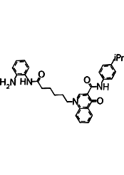 CC(C)c1ccc(NC(=O)c2cn(CCCCCC(=O)Nc3ccccc3N)c3ccccc3c2=O)cc1